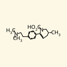 C[C@H]1CC=C(c2ccc(CCN(C)C)cc2)N(C(=O)O)C1